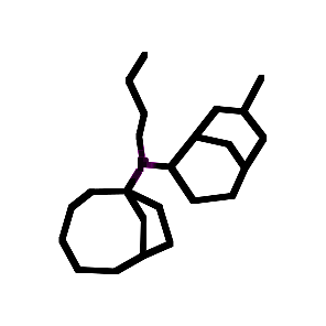 CCCCP(C1CCC2CC(C)CC1C2)C12CCCCCC(CC1)C2